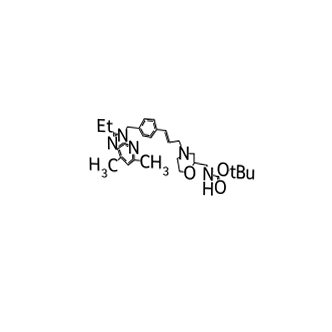 CCc1nc2c(C)cc(C)nc2n1Cc1ccc(C=CCN2CCOC(CNC(=O)OC(C)(C)C)C2)cc1